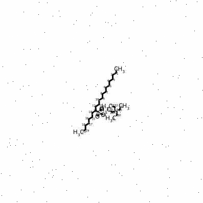 CCCCCCCCCCCCCC(CCCCCCC)S(=O)(=O)[O-].CC[N+](CC)(CC)CC